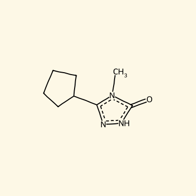 Cn1c(C2CCCC2)n[nH]c1=O